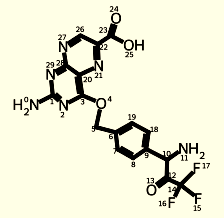 Nc1nc(OCc2ccc(C(N)C(=O)C(F)(F)F)cc2)c2nc(C(=O)O)cnc2n1